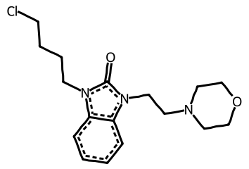 O=c1n(CCCCCl)c2ccccc2n1CCN1CCOCC1